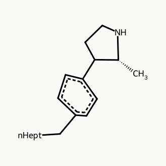 CCCCCCCCc1ccc(C2CCN[C@@H]2C)cc1